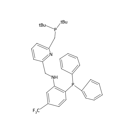 CC(C)(C)P(Cc1cccc(CNc2cc(C(F)(F)F)ccc2P(c2ccccc2)c2ccccc2)n1)C(C)(C)C